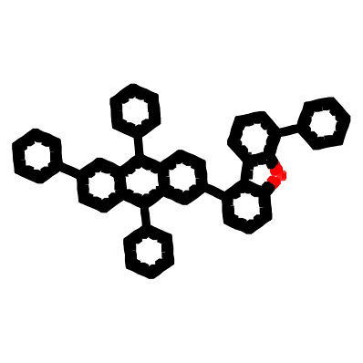 c1ccc(-c2ccc3c(-c4ccccc4)c4cc(-c5cccc6oc7c(-c8ccccc8)cccc7c56)ccc4c(-c4ccccc4)c3c2)cc1